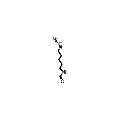 [N-]=[N+]=NCCCCCNC=O